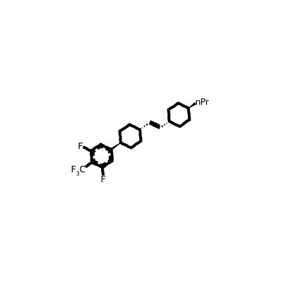 CCC[C@H]1CC[C@H](C=C[C@H]2CC[C@H](c3cc(F)c(C(F)(F)F)c(F)c3)CC2)CC1